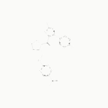 CC(=O)c1cnc(NC[C@@H]2CCCN2C(=O)c2nc(C)sc2-c2ccc(Cl)cc2)nc1